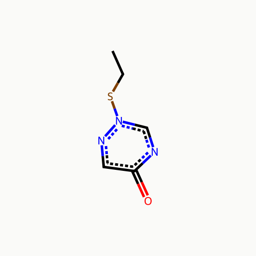 CCSn1cnc(=O)cn1